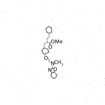 COC(=O)C(CCc1ccccc1)Cc1ccc(OCCN(C)c2nc3ccccc3o2)cc1